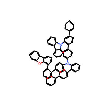 c1ccc(-c2ccc(-c3ccccc3N(c3ccc(-c4ccccc4-c4cccc5c4oc4ccccc45)cc3)c3ccc(-c4ccc(-c5ccccc5)cc4-n4c5ccccc5c5ccccc54)cc3)cc2)cc1